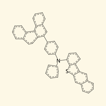 c1ccc(N(c2ccc(-c3cc4ccccc4c4c3ccc3ccccc34)cc2)c2cccc3c2sc2cc4ccccc4cc23)cc1